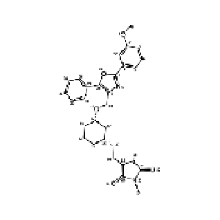 COc1cccc(-c2nc(CO[C@H]3CCC[C@@H](CCC4SC(=O)N(C)C4=O)C3)c(-c3ccccc3)o2)c1